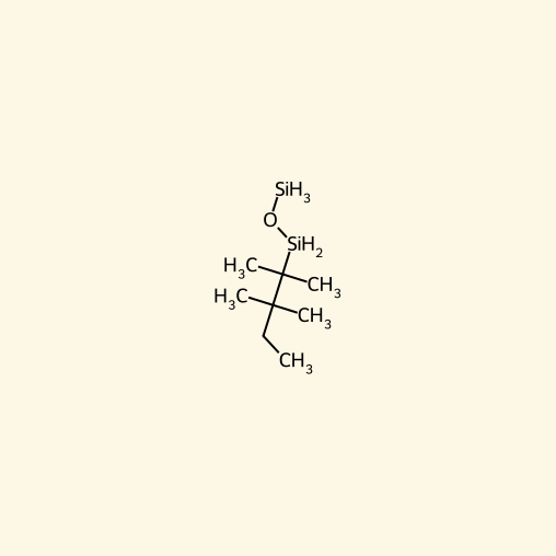 CCC(C)(C)C(C)(C)[SiH2]O[SiH3]